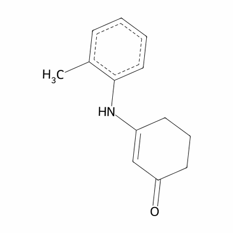 Cc1ccccc1NC1=CC(=O)CCC1